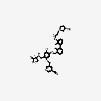 CC(=O)[C@](C)(CO)NCc1cc(Cl)c(OCc2cccc(-c3cccc(O[C@H](C)CCN4CC[C@@H](O)C4)c3C)c2C)cc1OCc1cncc(C#N)c1